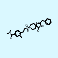 Cc1cc(C(=O)N(C)C)ccc1CCS(=O)(=O)N1CCC2(CC1)N=C(Cc1ccccc1)NC2=O